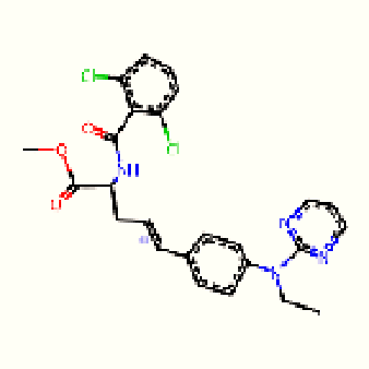 CCN(c1ccc(/C=C/CC(NC(=O)c2c(Cl)cccc2Cl)C(=O)OC)cc1)c1ncccn1